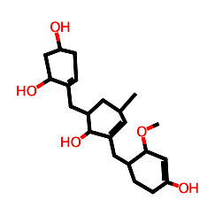 COC1C=C(O)CCC1CC1=CC(C)CC(CC2=CCC(O)CC2O)C1O